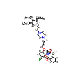 COc1cc(CCN2CCN(CC#CCOc3ccc(F)cc3[N+]3(C(C)C)C(=O)C(C)c4ccccc4S3(=O)=O)CC2)cc(OC)c1OC